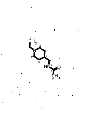 CCN1CCC(CNC(C)=O)CC1